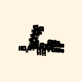 COc1cc(NC(=O)NC(C[N+]2(CCC(=O)O)CCC(Cc3ccc(Cl)c(Cl)c3)CC2)C(C)C)cc(OC)c1OC